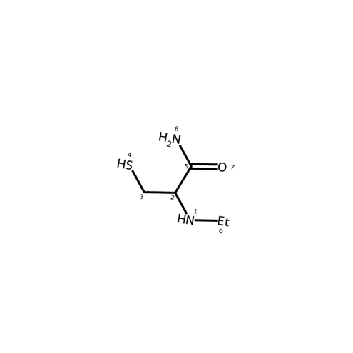 CCNC(CS)C(N)=O